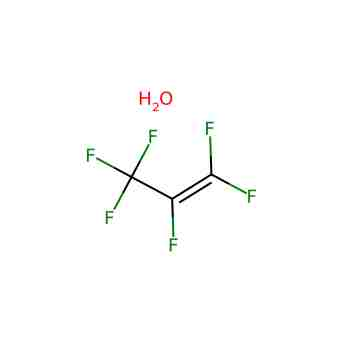 FC(F)=C(F)C(F)(F)F.O